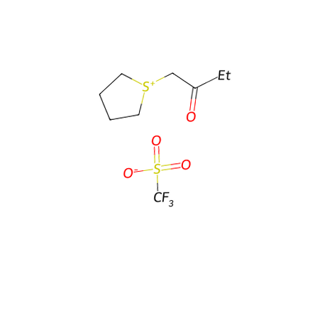 CCC(=O)C[S+]1CCCC1.O=S(=O)([O-])C(F)(F)F